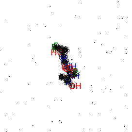 O=C(NS(=O)(=O)c1ccc(N[C@@H](CSc2ccccc2)C[C@H]2CCCN2CCO)c(S(=O)(=O)C(F)(F)F)c1)c1ccc(N2CCC([C@@H](O)c3ccccc3-c3ccc(C(F)(F)F)cc3)CC2)cc1